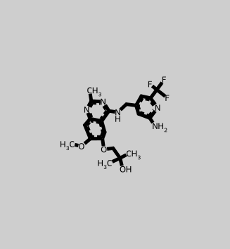 COc1cc2nc(C)nc(NCc3cc(N)nc(C(F)(F)F)c3)c2cc1OCC(C)(C)O